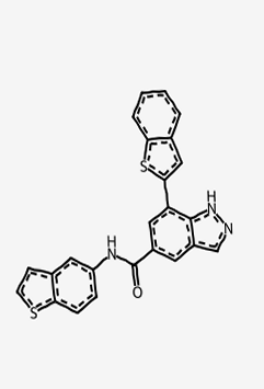 O=C(Nc1ccc2sccc2c1)c1cc(-c2cc3ccccc3s2)c2[nH]ncc2c1